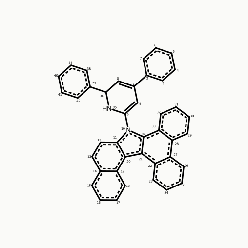 C1=C(c2ccccc2)C=C(n2c3ccc4ccccc4c3c3c4ccccc4c4ccccc4c32)NC1c1ccccc1